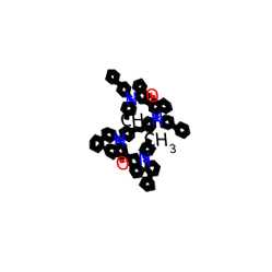 Cc1ccc(N(c2ccc(-c3ccccc3)cc2)c2cc3c4cc(N(c5ccc(CCc6ccc(N(c7cccc(-c8ccccc8)c7)c7cc8c9cc(N(c%10ccc(C)cc%10)c%10cccc(-c%11ccccc%11)c%10)c%10ccccc%10c9oc8c8ccccc78)cc6)cc5)c5ccc(-c6ccccc6)cc5)c5ccccc5c4oc3c3ccccc23)cc1